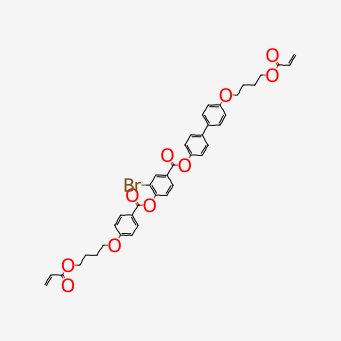 C=CC(=O)OCCCCOc1ccc(C(=O)Oc2ccc(C(=O)Oc3ccc(-c4ccc(OCCCCOC(=O)C=C)cc4)cc3)cc2Br)cc1